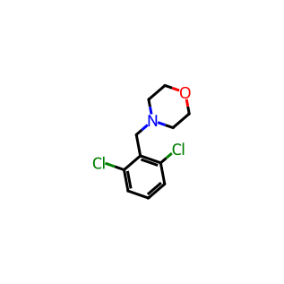 Clc1cccc(Cl)c1CN1CCOCC1